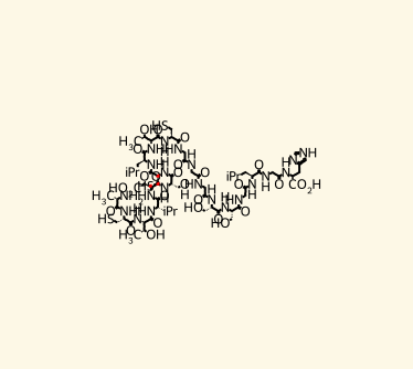 CC(C)C[C@H](NC(=O)CNC(=O)[C@H](CO)NC(=O)[C@H](CO)NC(=O)CNC(=O)CNC(=O)CNC(=O)[C@H](CS)NC(=O)[C@@H](NC(=O)[C@H](CC(C)C)NC(=O)[C@H](CS)NC(=O)[C@H](CO)NC(=O)[C@H](CC(=O)O)NC(=O)[C@@H](NC(=O)[C@@H](NC(=O)[C@H](CS)NC(=O)[C@H](C)N)[C@@H](C)O)C(C)C)[C@@H](C)O)C(=O)NCC(=O)N[C@@H](Cc1c[nH]cn1)C(=O)O